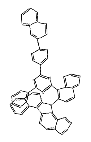 c1ccc(-c2nc(-c3ccc(-c4ccc5ccccc5c4)cc3)nc(-c3c(-n4c5ccc6ccccc6c5c5ccc6ccccc6c54)ccc4ccccc34)n2)cc1